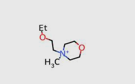 CCOCC[N+]1(C)CCOCC1